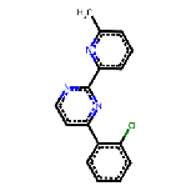 Cc1cccc(-c2nccc(-c3ccccc3Cl)n2)n1